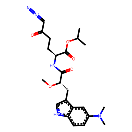 CO[C@@H](Cc1c[nH]c2ccc(N(C)C)cc12)C(=O)N[C@@H](CCC(=O)C=[N+]=[N-])C(=O)OC(C)C